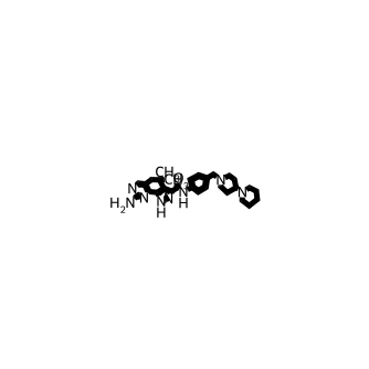 CC1(C)Cc2cnc(N)nc2-c2[nH]nc(C(=O)Nc3ccc(CN4CCC(N5CCCCC5)CC4)cc3)c21